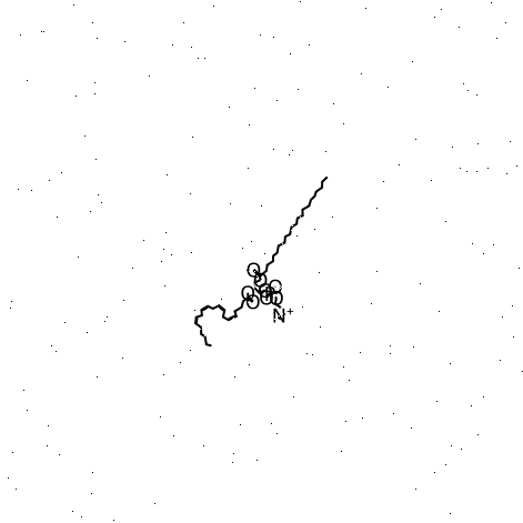 CCCCC/C=C\C/C=C\C/C=C\C/C=C\CCCC(=O)O[C@H](COC(=O)CCCCCCCCCCCCCCCCCCCCC)COP(=O)([O-])OCC[N+](C)(C)C